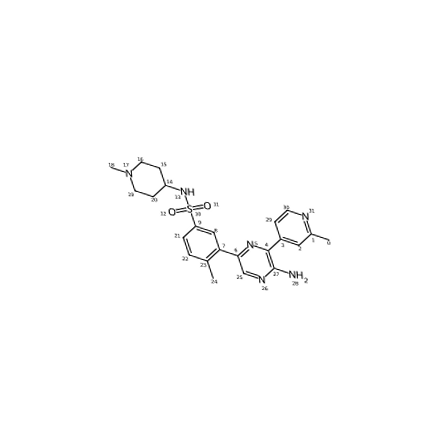 Cc1cc(-c2nc(-c3cc(S(=O)(=O)NC4CCN(C)CC4)ccc3C)cnc2N)ccn1